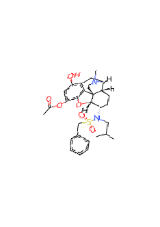 CC(=O)Oc1cc(O)c2c3c1O[C@H]1[C@@H](N(CC(C)C)S(=O)(=O)Cc4ccccc4)CC[C@H]4[C@@H](C2)N(C)CC[C@@]341